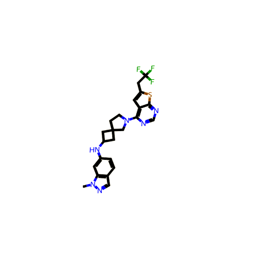 Cn1ncc2ccc(NC3CC4(CCN(c5ncnc6sc(CC(F)(F)F)cc56)C4)C3)cc21